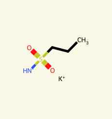 CCCS([NH-])(=O)=O.[K+]